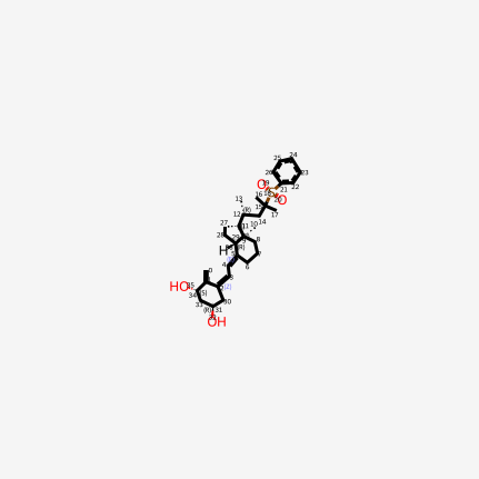 C=C1/C(=C\C=C2/CCC[C@]3(C)[C@@H]([C@H](C)CC(C)(C)S(=O)(=O)c4ccccc4)CC[C@@H]23)C[C@@H](O)C[C@@H]1O